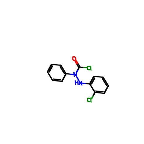 O=C(Cl)N(Nc1ccccc1Cl)c1ccccc1